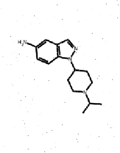 CC(C)N1CCC(n2ncc3cc(N)ccc32)CC1